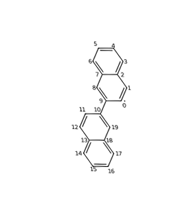 [c]1cc2ccccc2cc1-c1ccc2ccccc2c1